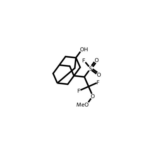 COOC(F)(F)C(C12CC3CC(CC(O)(C3)C1)C2)S(=O)(=O)F